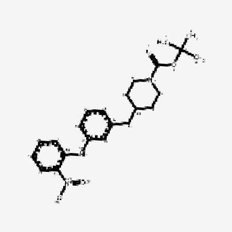 CC(C)(C)OC(=O)N1CCC(Cc2cccc(Nc3ccccc3[N+](=O)[O-])c2)CC1